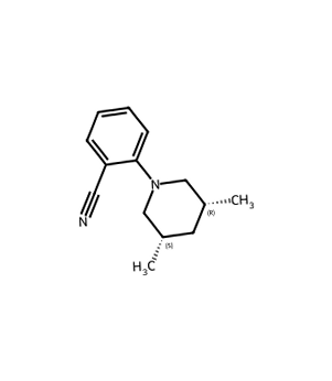 C[C@@H]1C[C@H](C)CN(c2ccccc2C#N)C1